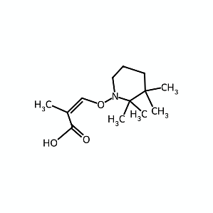 CC(=CON1CCCC(C)(C)C1(C)C)C(=O)O